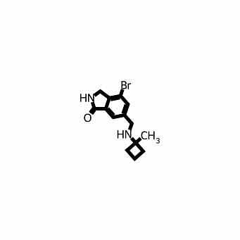 CC1(NCc2cc(Br)c3c(c2)C(=O)NC3)CCC1